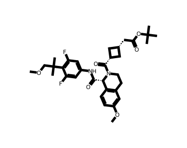 COCC(C)(C)c1c(F)cc(NC(=O)[C@H]2c3ccc(OC)cc3CCN2C(=O)[C@H]2C[C@@H](CC(=O)OC(C)(C)C)C2)cc1F